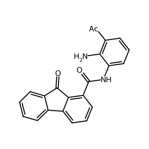 CC(=O)c1cccc(NC(=O)c2cccc3c2C(=O)c2ccccc2-3)c1N